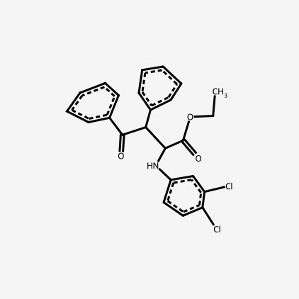 CCOC(=O)C(Nc1ccc(Cl)c(Cl)c1)C(C(=O)c1ccccc1)c1ccccc1